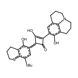 CCCCc1c/c(=C2\C(=O)C(c3cc4c5c(c3O)CCCN5CCC4)=C2O)c(O)c2c1=NCCC2